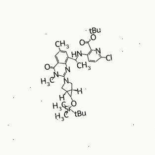 Cc1cc(C(C)Nc2ccc(Cl)nc2C(=O)OC(C)(C)C)c2nc(N3C[C@@H]4C(O[Si](C)(C)C(C)(C)C)[C@@H]4C3)n(C)c(=O)c2c1